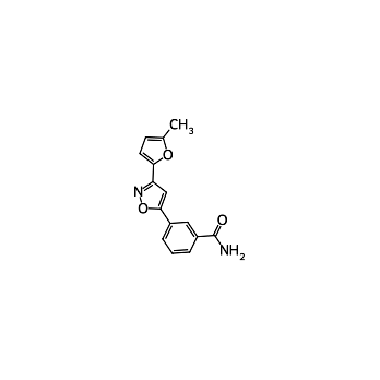 Cc1ccc(-c2cc(-c3cccc(C(N)=O)c3)on2)o1